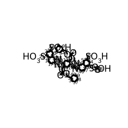 O=C(OCc1ccccc1)Oc1cc(-n2nc3ccc4c(S(=O)(=O)O)cc(S(=O)(=O)O)cc4c3n2)c(OC(=O)OCc2ccccc2)cc1-n1nc2ccc3c(SOOO)cc(S(=O)(=O)O)cc3c2n1